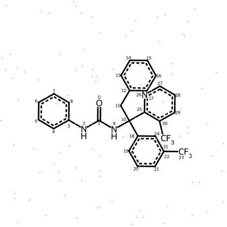 O=C(Nc1ccccc1)NC(Cc1ccccc1)(c1cccc(C(F)(F)F)c1)c1ncccc1C(F)(F)F